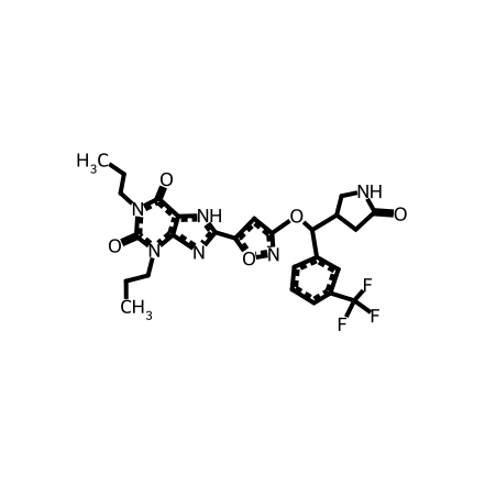 CCCn1c(=O)c2[nH]c(-c3cc(OC(c4cccc(C(F)(F)F)c4)C4CNC(=O)C4)no3)nc2n(CCC)c1=O